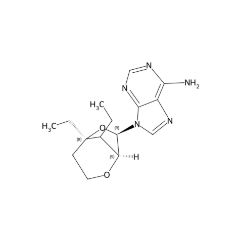 CCC1[C@@H]2OCC[C@@]1(CC)O[C@H]2n1cnc2c(N)ncnc21